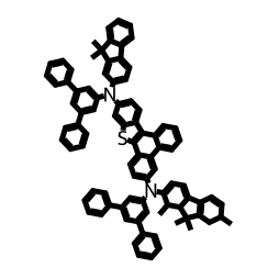 CC1C=CC2=C(C1)C(C)(C)C1C2=CC=C(N(c2cc(-c3ccccc3)cc(-c3ccccc3)c2)c2ccc3c(c2)c2ccccc2c2c4ccc(N(c5cc(-c6ccccc6)cc(-c6ccccc6)c5)c5ccc6c(c5)C(C)(C)c5ccccc5-6)cc4sc32)C1C